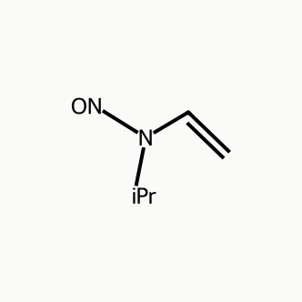 C=CN(N=O)C(C)C